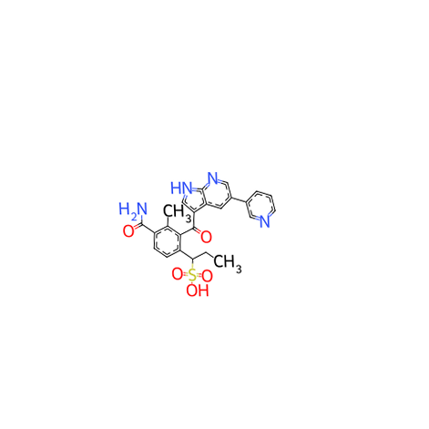 CCC(c1ccc(C(N)=O)c(C)c1C(=O)c1c[nH]c2ncc(-c3cccnc3)cc12)S(=O)(=O)O